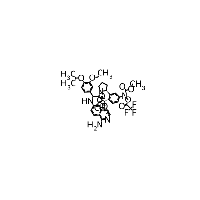 CCOc1cc([C@H](Nc2ccc3c(N)nccc3c2)C(=O)N2CCC[C@H]2c2cc(N(OC(=O)C(F)(F)F)C(=O)OC)ccc2S(=O)(=O)CC)ccc1OC(C)C